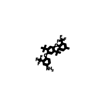 Cc1ccc(Oc2cc(C(C)(C)C)c(Oc3ccc(N)cc3C(F)(F)F)cc2C(C)(C)C)c(C(F)(F)F)c1